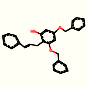 Oc1cc(OCc2ccccc2)cc(OCc2ccccc2)c1CC=Cc1ccccc1